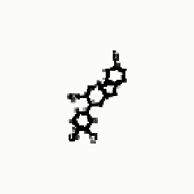 NC(=O)C(Cc1cc2ccc(Cl)cc2s1)c1ccc(Cl)c(Cl)c1